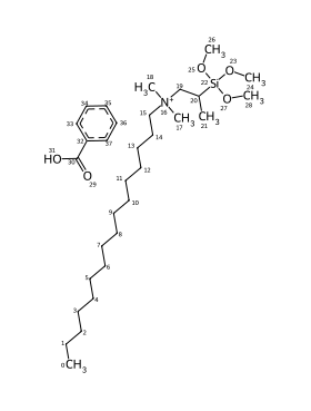 CCCCCCCCCCCCCCCC[N+](C)(C)CC(C)[Si](OC)(OC)OC.O=C(O)c1ccccc1